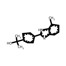 Cc1cccc2nc(-c3ccc(C(C)(C)O)cc3)[nH]c12